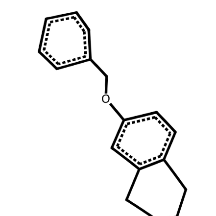 c1ccc(COc2ccc3c(c2)CCCC3)cc1